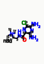 CCCC[C@@H](CNC(=O)c1nc(Cl)c(N)nc1N)[N+](C)(C)C